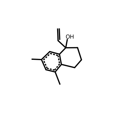 C=CC1(O)CCCc2c(C)cc(C)cc21